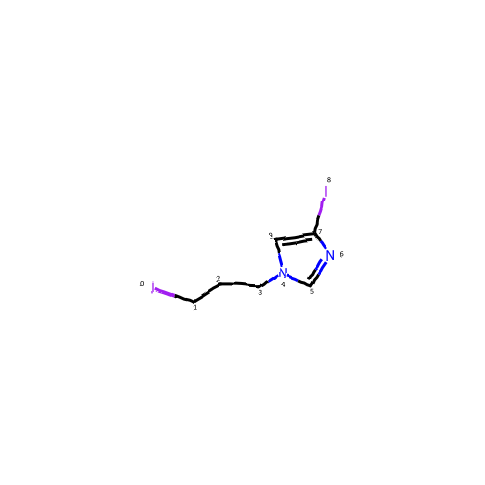 ICCCn1cnc(I)c1